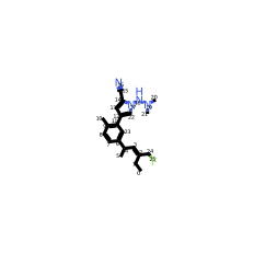 CC/C(=C\C(C)c1ccc(C)c(-c2cc(C#N)n(NN(C)C)c2)c1)CF